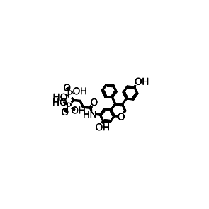 O=C(CCC(P(=O)(O)O)P(=O)(O)O)Nc1cc2c(cc1O)OCC(c1ccc(O)cc1)=C2c1ccccc1